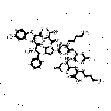 CC(C)C[C@H](NC(=O)[C@H](CC(N)=O)NC(=O)[C@H](CCCCN)NC(=O)[C@@H]1CCCN1C(=O)[C@@H](NC(=O)[C@H](Cc1ccc(O)cc1)NC(=O)[C@@H](N)Cc1ccccc1)[C@@H](C)O)C(=O)N[C@@H](CCCCN)C(=O)O